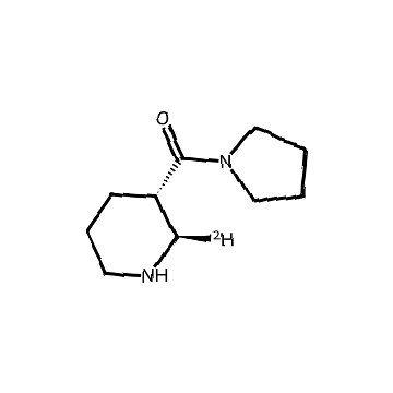 [2H][C@H]1NCCC[C@@H]1C(=O)N1CCCC1